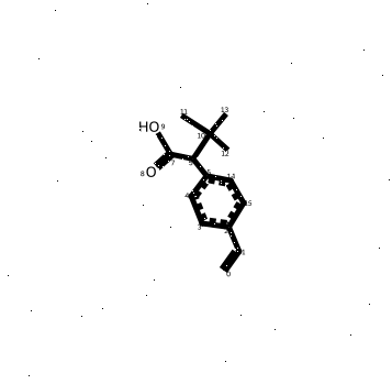 C=Cc1ccc(C(C(=O)O)C(C)(C)C)cc1